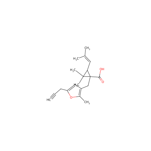 C#CCc1cc(CC2(C(=O)O)C(C=C(C)C)C2(C)C)c(C)o1